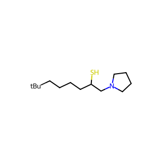 CC(C)(C)CCCCC(S)CN1CCCC1